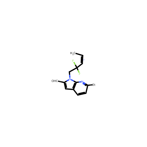 C/C=C\C(F)(F)Cn1c(C=O)cc2ccc(CC)nc21